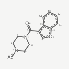 CC(=O)N1CCN(C(=O)c2coc3ccccc23)CC1